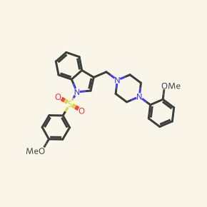 COc1ccc(S(=O)(=O)n2cc(CN3CCN(c4ccccc4OC)CC3)c3ccccc32)cc1